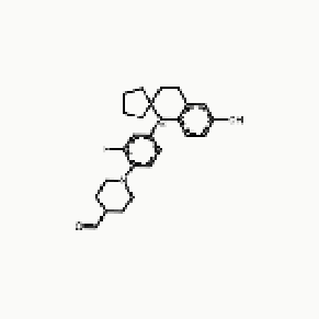 O=CC1CCN(c2ccc([C@@H]3c4ccc(O)cc4CCC34CCCC4)cc2F)CC1